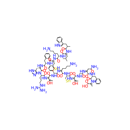 CC(C)C[C@H](NC(=O)C(C)Cc1c[nH]c2ccccc12)C(=O)NC(CCCCN)C(=O)N[C@@H](Cc1ccccc1)C(=O)NC(Cc1ccccc1)C(=O)N[C@@H](Cc1cnc[nH]1)C(=O)NC(CCCNC(N)N)C(=O)N[C@H](C(=O)NC(CS)C(=O)N[C@@H](CCCCN)C(=O)NC(CS)C(=O)N[C@H](C(=O)NCC(=O)N[C@@H](CC(N)=O)C(=O)NC(Cc1ccccc1)C(=O)N[C@@H](C)C(=O)O)[C@@H](C)O)[C@@H](C)O